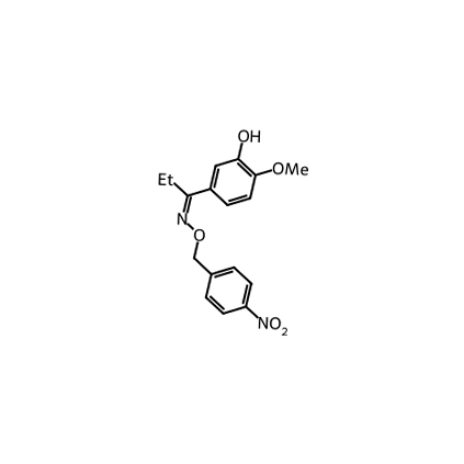 CCC(=NOCc1ccc([N+](=O)[O-])cc1)c1ccc(OC)c(O)c1